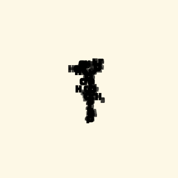 Cc1c(COc2cc(OCc3ccc(F)c(F)c3)c(CNC(CO)(CO)CO)cc2Cl)cccc1-c1cccc(OCCCN2CC[C@@H](OI)C2)c1C